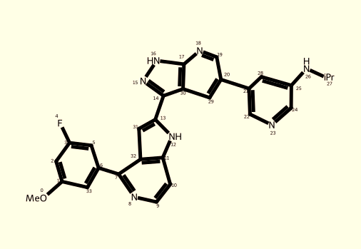 COc1cc(F)cc(-c2nccc3[nH]c(-c4n[nH]c5ncc(-c6cncc(NC(C)C)c6)cc45)cc23)c1